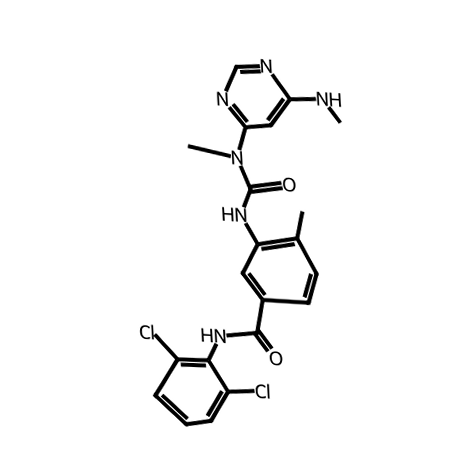 CNc1cc(N(C)C(=O)Nc2cc(C(=O)Nc3c(Cl)cccc3Cl)ccc2C)ncn1